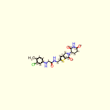 Cc1ccc(NCC(=O)NCc2cc3c(s2)C(=O)N(C2CCC(=O)NC2=O)C3)cc1Cl